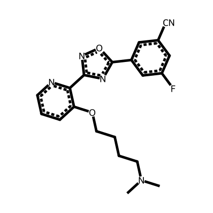 CN(C)CCCCOc1cccnc1-c1noc(-c2cc(F)cc(C#N)c2)n1